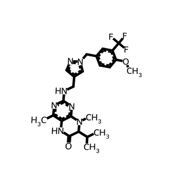 COc1ccc(Cn2cc(CNc3nc(C)c4c(n3)N(C)C(C(C)C)C(=O)N4)cn2)cc1C(F)(F)F